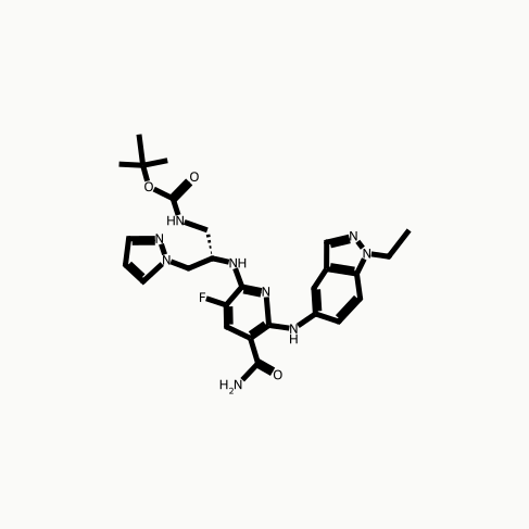 CCn1ncc2cc(Nc3nc(N[C@@H](CNC(=O)OC(C)(C)C)Cn4cccn4)c(F)cc3C(N)=O)ccc21